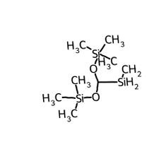 [CH2][SiH2]C(O[Si](C)(C)C)O[Si](C)(C)C